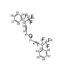 FC(F)(F)C(C#CCOCC#CC(c1ccccc1)C(F)(F)F)c1ccccc1